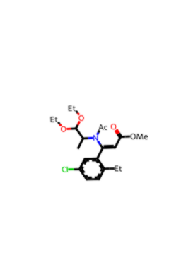 CCOC(OCC)C(C)N(C(C)=O)C(=CC(=O)OC)c1cc(Cl)ccc1CC